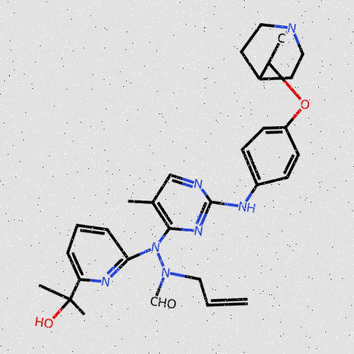 C=CCN(C=O)N(c1cccc(C(C)(C)O)n1)c1nc(Nc2ccc(OC3CN4CCC3CC4)cc2)ncc1C